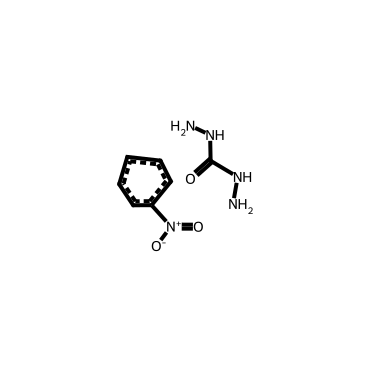 NNC(=O)NN.O=[N+]([O-])c1ccccc1